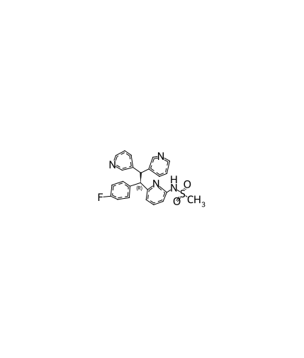 CS(=O)(=O)Nc1cccc([C@@H](c2ccc(F)cc2)C(c2cccnc2)c2cccnc2)n1